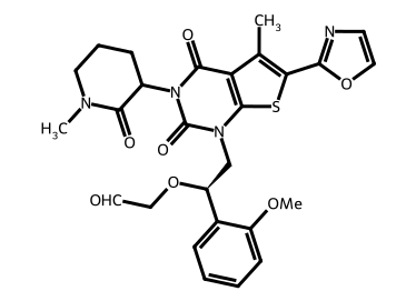 COc1ccccc1[C@H](Cn1c(=O)n(C2CCCN(C)C2=O)c(=O)c2c(C)c(-c3ncco3)sc21)OCC=O